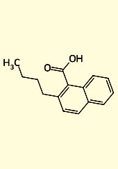 CCCCc1ccc2ccccc2c1C(=O)O